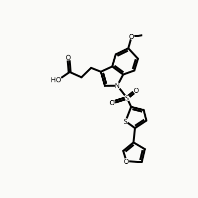 COc1ccc2c(c1)c(CCC(=O)O)cn2S(=O)(=O)c1ccc(-c2ccoc2)s1